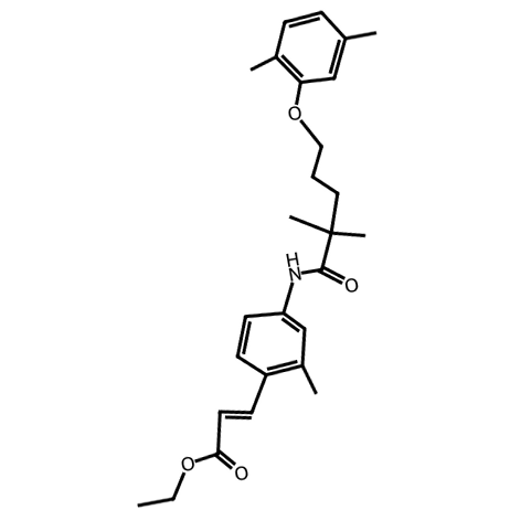 CCOC(=O)/C=C/c1ccc(NC(=O)C(C)(C)CCCOc2cc(C)ccc2C)cc1C